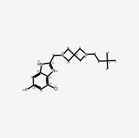 CC(C)(C)CCN1CC2(C1)CN(Cc1nc3c(Cl)cc(F)cc3[nH]1)C2